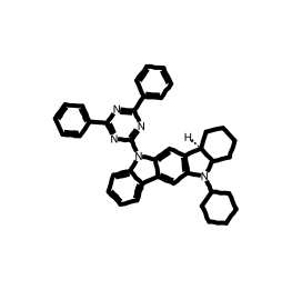 c1ccc(-c2nc(-c3ccccc3)nc(-n3c4ccccc4c4cc5c(cc43)[C@H]3CCCCC3N5C3CCCCC3)n2)cc1